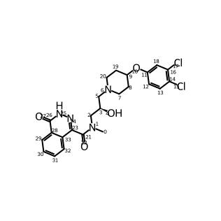 CN(C[C@H](O)CN1CCC(Oc2ccc(Cl)c(Cl)c2)CC1)C(=O)c1n[nH]c(=O)c2ccccc12